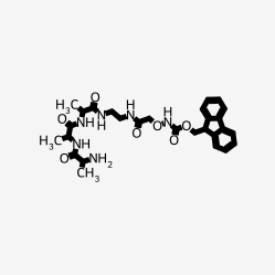 CC(N)C(=O)NC(C)C(=O)NC(C)C(=O)NCCNC(=O)CONC(=O)OCC1c2ccccc2-c2ccccc21